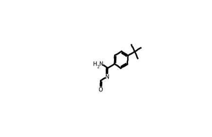 CC(C)(C)c1ccc(C(N)=NC=O)cc1